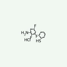 Cl.Nc1cc(F)cc(F)c1F.Sc1ccccc1